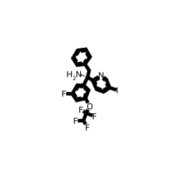 N[C@@](Cc1ccccc1)(c1cc(F)cc(OC(F)(F)C(F)F)c1)c1ccc(I)cn1